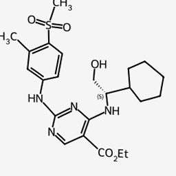 CCOC(=O)c1cnc(Nc2ccc(S(C)(=O)=O)c(C)c2)nc1N[C@H](CO)C1CCCCC1